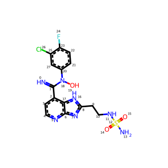 N=C(c1ccnc2nc(CCNS(N)(=O)=O)[nH]c12)N(O)c1ccc(F)c(Cl)c1